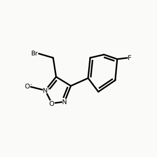 [O-][n+]1onc(-c2ccc(F)cc2)c1CBr